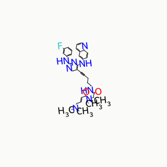 C[C@@H](C(=O)NCCCC#Cc1cnc(Nc2cccc(F)c2)nc1Nc1ccc2ncccc2c1)N(C)C(=O)/C=C/CN(C)C